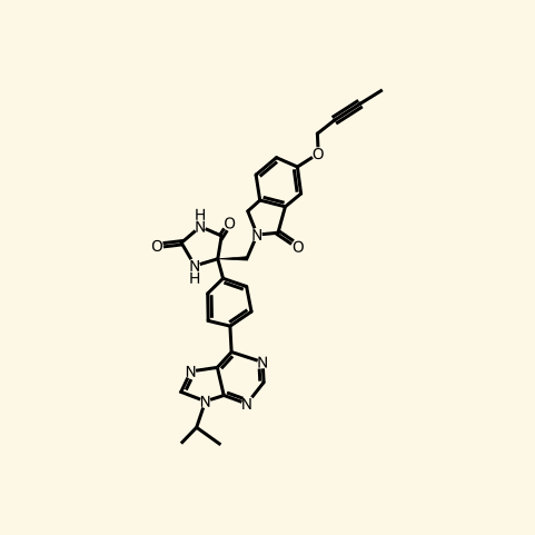 CC#CCOc1ccc2c(c1)C(=O)N(C[C@@]1(c3ccc(-c4ncnc5c4ncn5C(C)C)cc3)NC(=O)NC1=O)C2